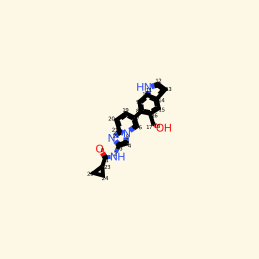 O=C(Nc1cn2cc(-c3cc4[nH]ccc4cc3CO)ccc2n1)C1CC1